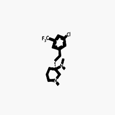 CN1CCC[C@@](CCc2cc(Cl)cc(C(F)(F)F)c2)(N(C)C)C1